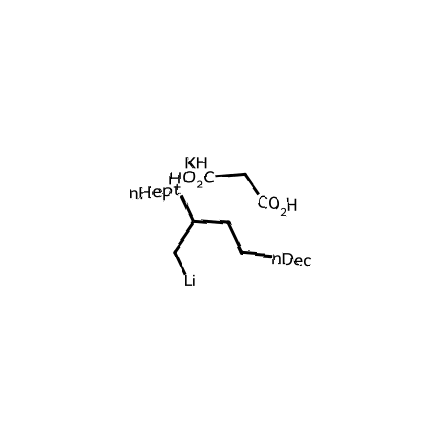 O=C(O)CC(=O)O.[KH].[Li][CH2]C(CCCCCCC)CCCCCCCCCCCC